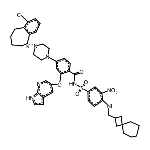 O=C(NS(=O)(=O)c1ccc(NCC2CC3(CCCCC3)C2)c([N+](=O)[O-])c1)c1ccc(N2CCN([C@@H]3CCCCc4c(Cl)cccc43)CC2)cc1Oc1cnc2[nH]ccc2c1